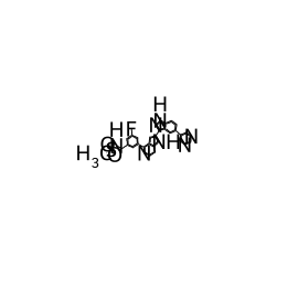 CS(=O)(=O)NCc1cc(F)cc(-c2nccc3[nH]c(-c4n[nH]c5ccc(-c6cncnc6)cc45)cc23)c1